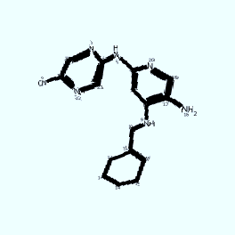 [C-]#[N+]c1cnc(Nc2cc(NCC3CCCCC3)c(N)cn2)cn1